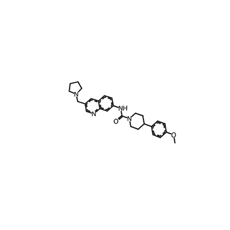 COc1ccc(C2CCN(C(=O)Nc3ccc4cc(CN5CCCC5)cnc4c3)CC2)cc1